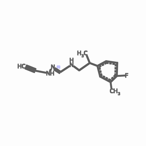 C#CN/N=C/NCC(C)c1ccc(F)c(C)c1